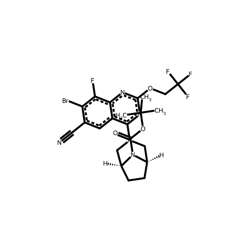 CC(C)(C)OC(=O)N1[C@@H]2CC[C@H]1CN(c1nc(OCC(F)(F)F)nc3c(F)c(Br)c(C#N)cc13)C2